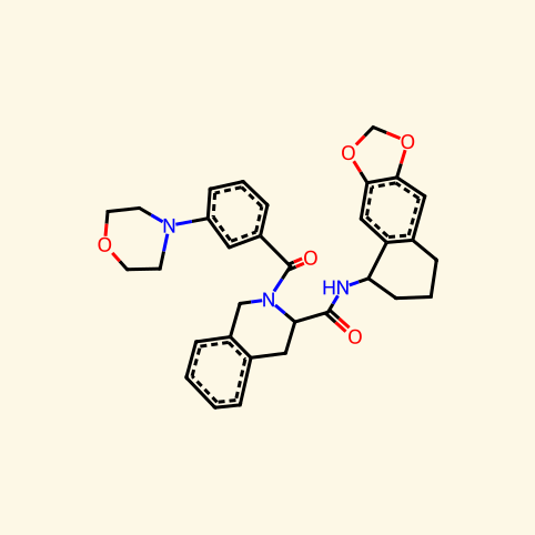 O=C(NC1CCCc2cc3c(cc21)OCO3)C1Cc2ccccc2CN1C(=O)c1cccc(N2CCOCC2)c1